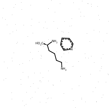 NCCCC[C@H](N)C(=O)O.c1ccncc1